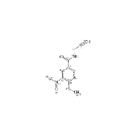 C#CCNC(=O)c1cnc(SC)c([N+](=O)[O-])c1